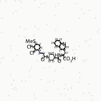 CSc1ccc(/C=C/C(=O)N2CCC(C(=O)N[C@@H](Cc3cnc4ccccc4c3)C(=O)O)CC2)c(Cl)c1Cl